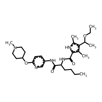 CCCCC(NC(=O)c1[nH]c(C)c(C(C)OCC)c1C)C(=O)Nc1ccc(OC2CCN(C)CC2)nc1